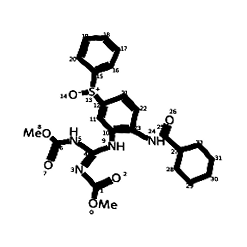 COC(=O)N=C(NC(=O)OC)Nc1cc([S+]([O-])c2ccccc2)ccc1NC(=O)C1CCCCC1